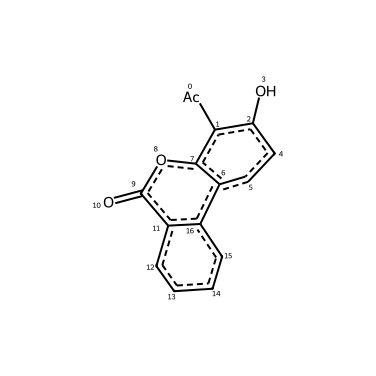 CC(=O)c1c(O)ccc2c1oc(=O)c1ccccc12